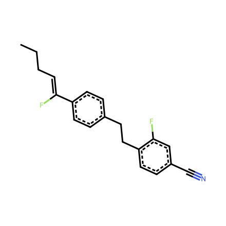 CCCC=C(F)c1ccc(CCc2ccc(C#N)cc2F)cc1